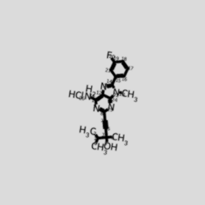 CC(C)C(C)(O)C#Cc1nc(N)c2nc(-c3cccc(F)c3)n(C)c2n1.Cl